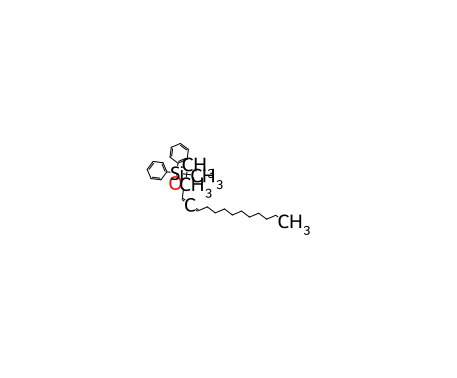 CCCCCCCCCCC=C=CCO[Si](c1ccccc1)(c1ccccc1)C(C)(C)C